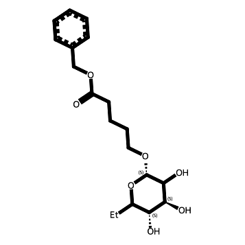 CCC1O[C@H](OCCCCC(=O)OCc2ccccc2)C(O)[C@@H](O)[C@@H]1O